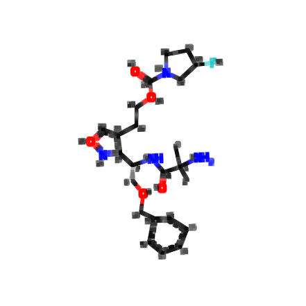 CC(C)(N)C(=O)N[C@H](COCc1ccccc1)c1nocc1CCOC(=O)N1CCC(F)C1